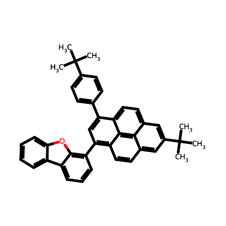 CC(C)(C)c1ccc(-c2cc(-c3cccc4c3oc3ccccc34)c3ccc4cc(C(C)(C)C)cc5ccc2c3c54)cc1